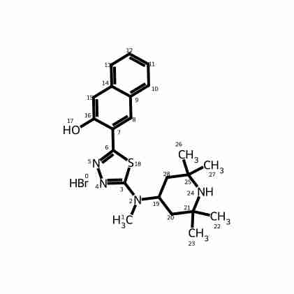 Br.CN(c1nnc(-c2cc3ccccc3cc2O)s1)C1CC(C)(C)NC(C)(C)C1